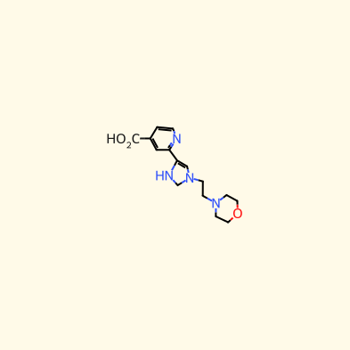 O=C(O)c1ccnc(C2=CN(CCN3CCOCC3)CN2)c1